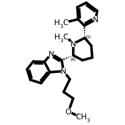 COCCCn1c([C@H]2CCC[C@@H](c3ncccc3C)N2C)nc2ccccc21